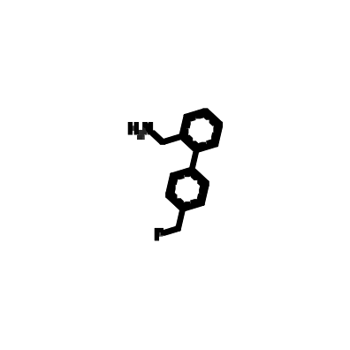 NCc1ccccc1-c1ccc(CF)cc1